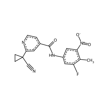 Cc1c(F)cc(NC(=O)c2ccnc(C3(C#N)CC3)c2)cc1[N+](=O)[O-]